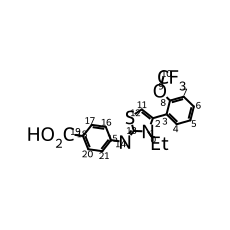 CCn1c(-c2ccccc2OC(F)(F)F)cs/c1=N\c1ccc(C(=O)O)cc1